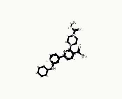 CC(C)(C)OC(=O)N1CCN(c2nc(-c3ccnc(NC4CCCCC4)c3)ccc2C(N)=O)CC1